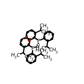 CC(C)c1ccccc1P(NP(c1ccccc1C(C)C)c1ccccc1C(C)C)c1ccccc1C(C)C